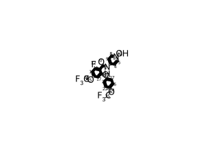 O=C(Nc1cc[n+](O)cc1)c1c(F)cc(OC(F)(F)F)cc1Oc1ccc(OC(F)(F)F)cc1